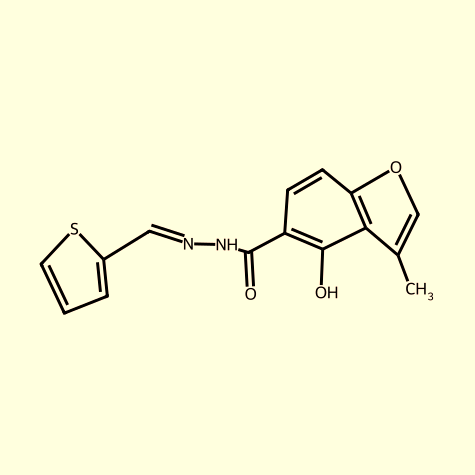 Cc1coc2ccc(C(=O)NN=Cc3cccs3)c(O)c12